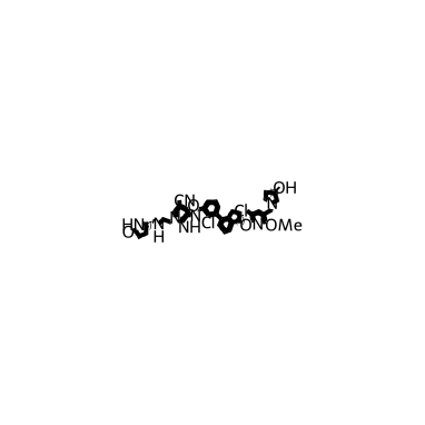 COc1nc(O[C@H]2CCc3c(-c4cccc(-c5nc6c(=N)n(CCNC[C@@H]7CCC(=O)N7)cc(C#N)c6o5)c4Cl)cccc32)c(Cl)cc1CN1CC[C@@H](O)C1